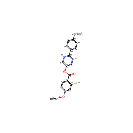 CCCCCCCOc1ccc(C(=O)Oc2cnc(-c3ccc(CCCCCCC)cc3)nc2)c(F)c1